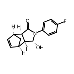 O=C1[C@H]2[C@@H]([C@@H](O)N1c1ccc(F)cc1)[C@H]1C=C[C@@H]2C1